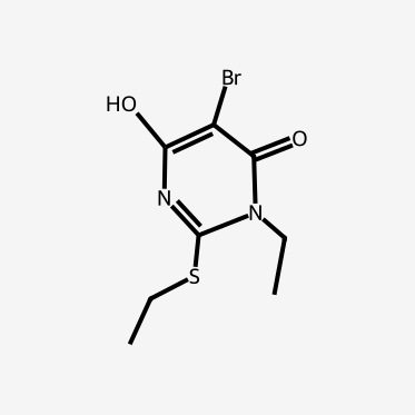 CCSc1nc(O)c(Br)c(=O)n1CC